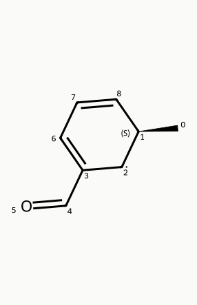 C[C@H]1[CH]C(C=O)=CC=C1